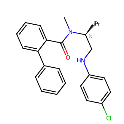 CC(C)[C@@H](CNc1ccc(Cl)cc1)N(C)C(=O)c1ccccc1-c1ccccc1